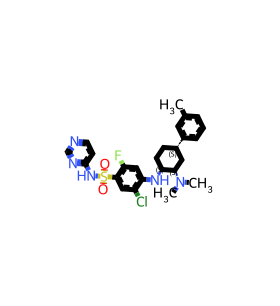 Cc1cccc([C@H]2CC[C@H](Nc3cc(F)c(S(=O)(=O)Nc4ccncn4)cc3Cl)[C@@H](N(C)C)C2)c1